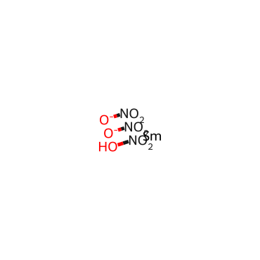 O=[N+]([O-])O.O=[N+]([O-])[O-].O=[N+]([O-])[O-].[Sm]